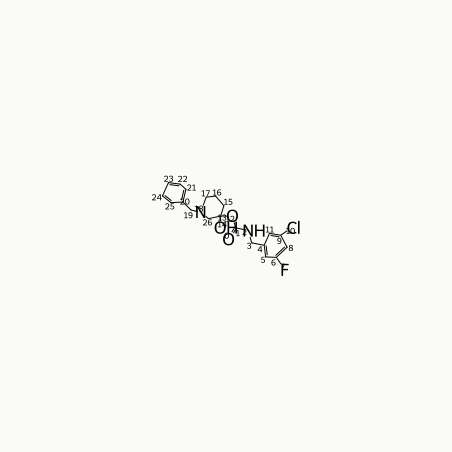 O=C(NCc1cc(F)cc(Cl)c1)OC1(O)CCCN(Cc2ccccc2)C1